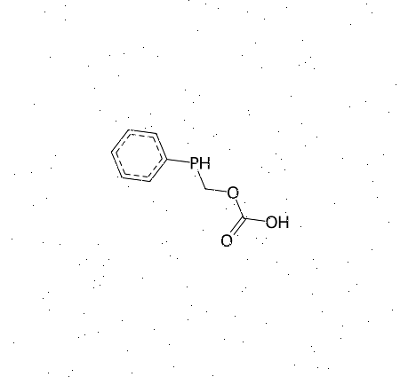 O=C(O)OCPc1ccccc1